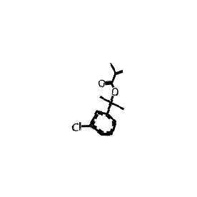 CC(C)C(=O)OC(C)(C)c1cccc(Cl)c1